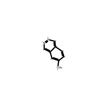 CC(=O)Oc1ccc2cnncc2c1